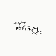 Fc1ccc(CNc2ccc(Cl)nn2)cc1F